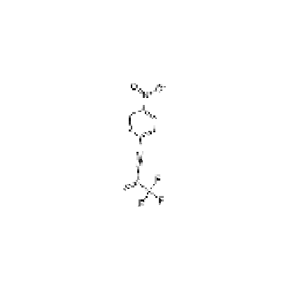 C=C(C#Cc1ccc([N+](=O)[O-])cc1)C(F)(F)F